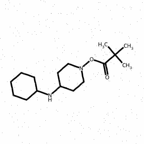 CC(C)(C)C(=O)ON1CCC(NC2CCCCC2)CC1